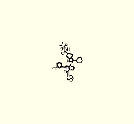 COc1cccc(/C=C(\Cn2cc(C3CCCCC3)c3ccc(C(=O)NS(=O)(=O)C(C)C)cc32)c2occc2C(=O)N2CCOCC2)c1